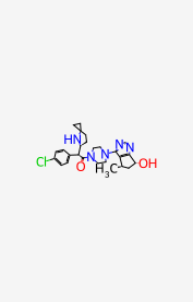 C[C@@H]1C[C@@H](O)c2ncnc(N3CCN(C(=O)[C@@H](c4ccc(Cl)cc4)[C@@H]4CCC5(CC5)N4)CC3)c21